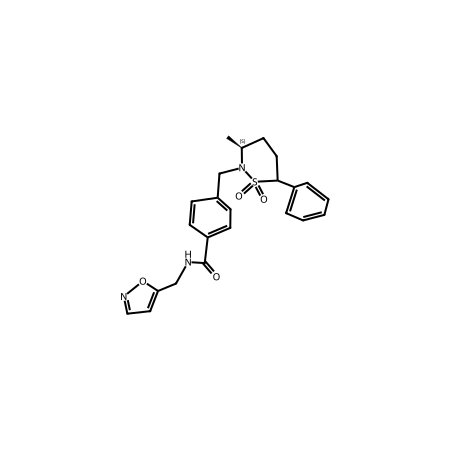 C[C@H]1CCC(c2ccccc2)S(=O)(=O)N1Cc1ccc(C(=O)NCc2ccno2)cc1